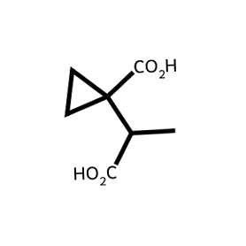 CC(C(=O)O)C1(C(=O)O)CC1